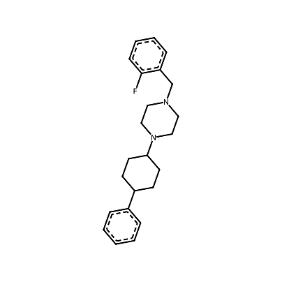 Fc1ccccc1CN1CCN(C2CCC(c3ccccc3)CC2)CC1